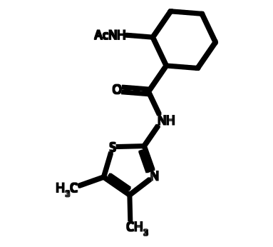 CC(=O)NC1CCCCC1C(=O)Nc1nc(C)c(C)s1